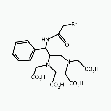 O=C(O)CN(CC(=O)O)CC(C(NC(=O)CBr)c1ccccc1)N(CC(=O)O)CC(=O)O